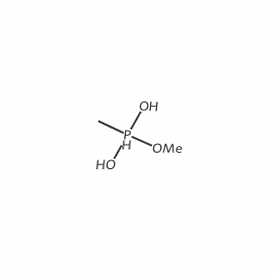 CO[PH](C)(O)O